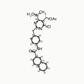 CC(=O)OCc1c(Cl)nc(Cc2ccc(NC(=O)c3ccc4ccccc4c3)cc2)nc1N(C)C